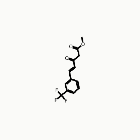 COC(=O)CC(=O)C=Cc1cccc(C(F)(F)F)c1